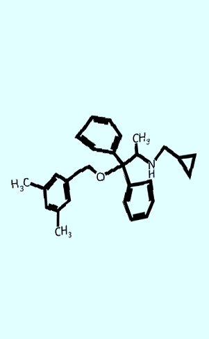 Cc1cc(C)cc(COC(c2ccccc2)(c2ccccc2)C(C)NCC2CC2)c1